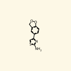 Nc1nc(-c2ccc3c(c2)COO3)cs1